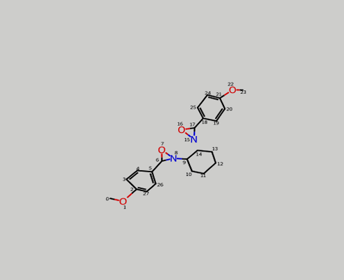 COc1ccc(C2ON2C2CCCCC2[N@@]2OC2c2ccc(OC)cc2)cc1